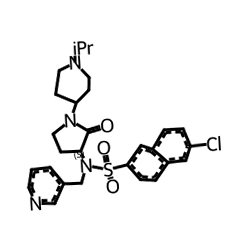 CC(C)N1CCC(N2CC[C@H](N(Cc3cccnc3)S(=O)(=O)c3ccc4cc(Cl)ccc4c3)C2=O)CC1